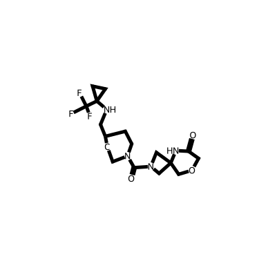 O=C1COCC2(CN(C(=O)N3CCC(CNC4(C(F)(F)F)CC4)CC3)C2)N1